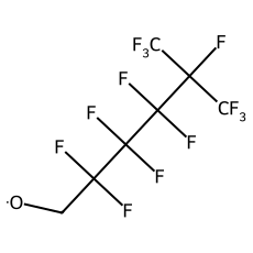 [O]CC(F)(F)C(F)(F)C(F)(F)C(F)(C(F)(F)F)C(F)(F)F